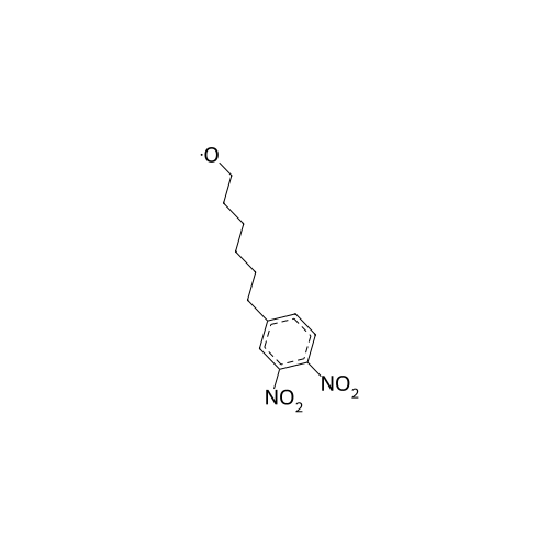 [O]CCCCCCc1ccc([N+](=O)[O-])c([N+](=O)[O-])c1